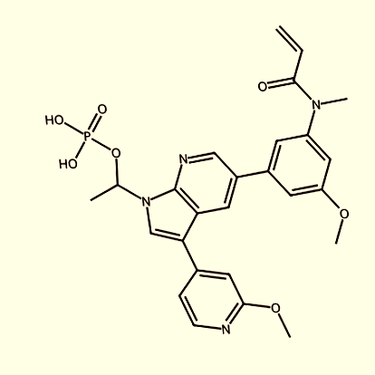 C=CC(=O)N(C)c1cc(OC)cc(-c2cnc3c(c2)c(-c2ccnc(OC)c2)cn3C(C)OP(=O)(O)O)c1